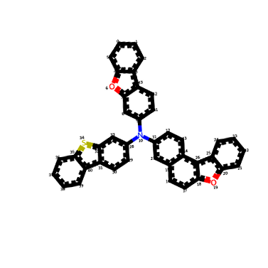 c1ccc2c(c1)oc1cc(N(c3ccc4c(ccc5oc6ccccc6c54)c3)c3ccc4c(c3)sc3ccccc34)ccc12